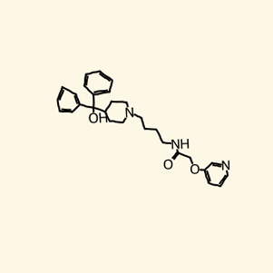 O=C(COc1cccnc1)NCCCCN1CCC(C(O)(c2ccccc2)c2ccccc2)CC1